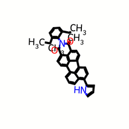 CC(C)c1cccc(C(C)C)c1N1C(=O)c2ccc3c4cccc5c(-c6ccc[nH]6)ccc(c6ccc(c2c36)C1=O)c54